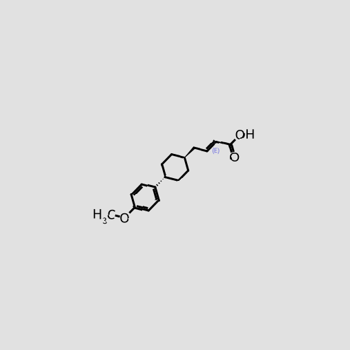 COc1ccc([C@H]2CC[C@H](C/C=C/C(=O)O)CC2)cc1